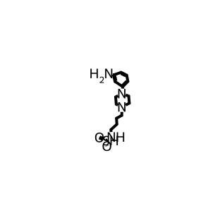 Nc1cccc(N2CCN(CCCCN[SH](=O)=O)CC2)c1